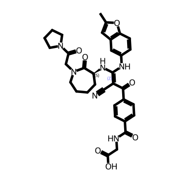 Cc1cc2cc(N/C(N[C@H]3CCCCN(CC(=O)N4CCCC4)C3=O)=C(/C#N)C(=O)c3ccc(C(=O)NCC(=O)O)cc3)ccc2o1